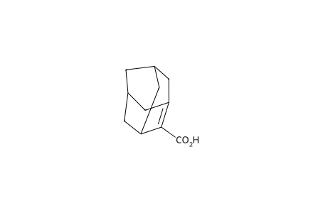 O=C(O)C1=C2CC3CC(C2)CC1C3